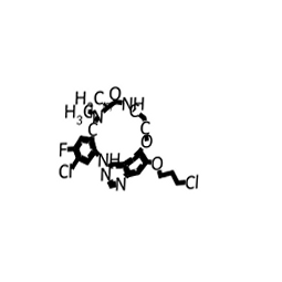 C[C@H]1C(=O)NCCCOc2cc3c(ncnc3cc2OCCCCl)Nc2cc(Cl)c(F)cc2CN1C